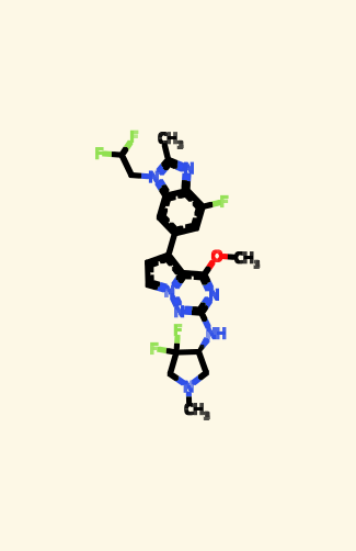 COc1nc(N[C@H]2CN(C)CC2(F)F)nn2ccc(-c3cc(F)c4nc(C)n(CC(F)F)c4c3)c12